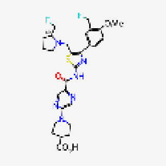 COc1ccc(-c2nc(NC(=O)c3cnc(N4CCC(C(=O)O)CC4)cn3)sc2CN2CCC[C@H]2CF)cc1CF